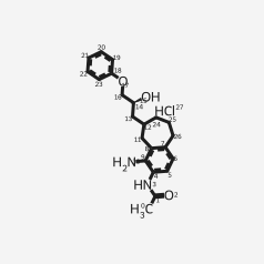 CC(=O)Nc1ccc2c(c1N)CC(C[C@H](O)COc1ccccc1)CCC2.Cl